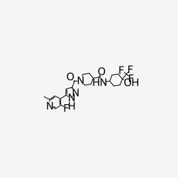 Cc1cc(-c2cc(C(=O)N3CCC(C(=O)NC4CCC(O)(C(F)(F)F)CC4)CC3)n[nH]2)c(F)cn1